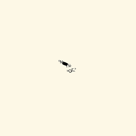 N#[Si].[C].[O]